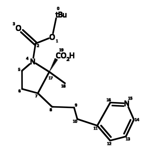 CC(C)(C)OC(=O)N1CCC(CCCc2cccnc2)[C@@]1(C)C(=O)O